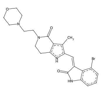 Cc1c(C=C2C(=O)Nc3cccc(Br)c32)[nH]c2c1C(=O)N(CCN1CCOCC1)CC2